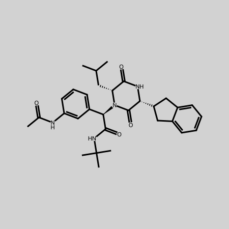 CC(=O)Nc1cccc([C@H](C(=O)NC(C)(C)C)N2C(=O)[C@@H](C3Cc4ccccc4C3)NC(=O)[C@H]2CC(C)C)c1